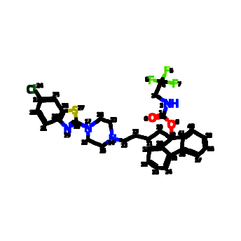 O=C(NCC(F)(F)F)OC1(CCCCN2CCN(c3nc4ccc(Cl)cc4s3)CC2)c2ccccc2-c2ccccc21